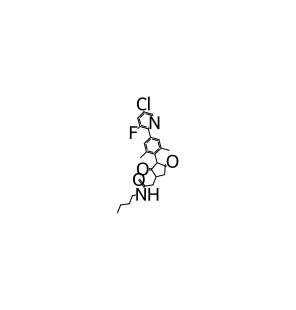 CCCCNC(=O)CC1CC(=O)C(c2c(C)cc(-c3ncc(Cl)cc3F)cc2C)C1=O